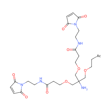 CC(=O)CCOCC(N)(COCCC(=O)NCCN1C(=O)C=CC1=O)COCCC(=O)NCCN1C(=O)C=CC1=O